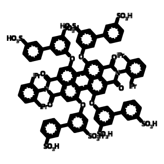 CC(C)c1cccc(C(C)C)c1N1C(=O)c2cc(Oc3cc(-c4cccc(S(=O)(=O)O)c4)cc(S(=O)(=O)O)c3)c3c4c(Oc5cc(-c6cccc(S(=O)(=O)O)c6)cc(S(=O)(=O)O)c5)cc5c6c(cc(Oc7cc(-c8cccc(S(=O)(=O)O)c8)cc(S(=O)(=O)O)c7)c(c7c(Oc8cc(-c9cccc(S(=O)(=O)O)c9)cc(S(=O)(=O)O)c8)cc(c2c37)C1=O)c64)C(=O)N(c1c(C(C)C)cccc1C(C)C)C5=O